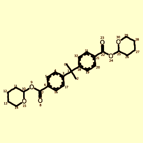 CC(C)(c1ccc(C(=O)OC2CCCCO2)cc1)c1ccc(C(=O)OC2CCCCO2)cc1